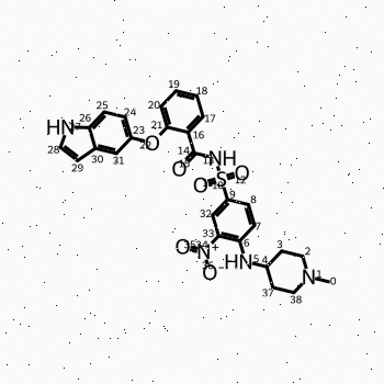 CN1CCC(Nc2ccc(S(=O)(=O)NC(=O)c3ccccc3Oc3ccc4[nH]ccc4c3)cc2[N+](=O)[O-])CC1